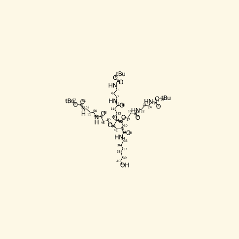 CC(C)(C)OC(=O)NCCCNC(=O)CCO[C@@H]1[C@H](OCCC(=O)NCCCNC(=O)OC(C)(C)C)C=C(C(=O)NCCCCCCO)C[C@H]1OCCC(=O)NCCCNC(=O)OC(C)(C)C